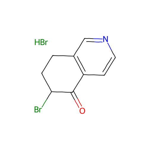 Br.O=C1c2ccncc2CCC1Br